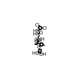 Cc1ccc(-c2ccsc2S(=O)(=O)NCCNC(=O)Nc2cc(Cl)cc(Cl)c2)c(Oc2ccc(O)c(O)c2)c1